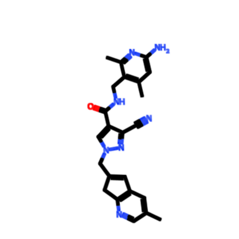 Cc1cnc2c(c1)C=C(Cn1cc(C(=O)NCc3c(C)cc(N)nc3C)c(C#N)n1)C2